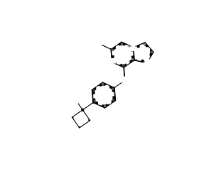 OC1(c2ccc(Nc3nc(Br)cn4ccnc34)cc2)CCC1